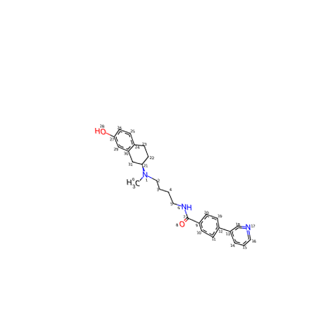 CN(CCCCNC(=O)c1ccc(-c2cccnc2)cc1)[C@@H]1CCc2ccc(O)cc2C1